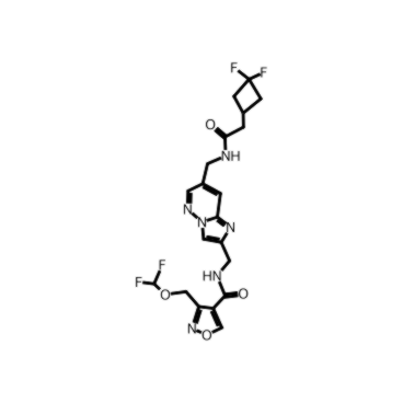 O=C(CC1CC(F)(F)C1)NCc1cnn2cc(CNC(=O)c3conc3COC(F)F)nc2c1